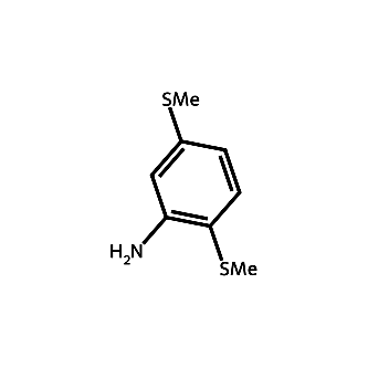 CSc1ccc(SC)c(N)c1